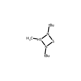 C[SH]1N(C(C)(C)C)SN1C(C)(C)C